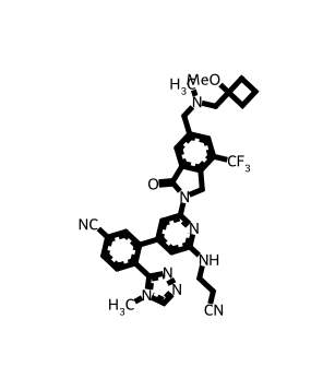 COC1(CN(C)Cc2cc3c(c(C(F)(F)F)c2)CN(c2cc(-c4cc(C#N)ccc4-c4nncn4C)cc(NCCC#N)n2)C3=O)CCC1